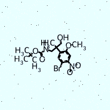 COc1cc([N+](=O)[O-])c(Br)cc1C(C)(CO)CNC(=O)OC(C)(C)C